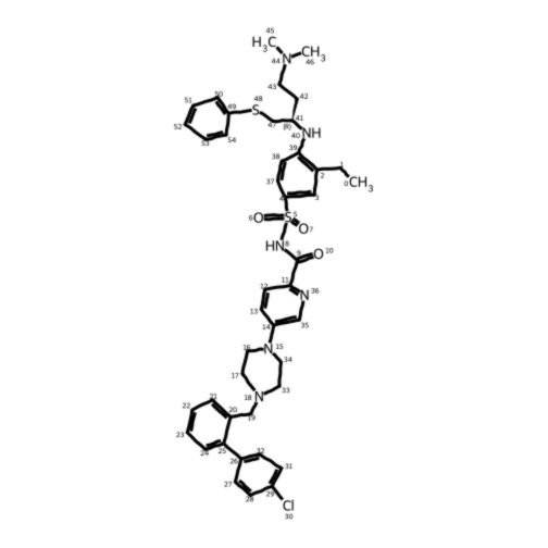 CCc1cc(S(=O)(=O)NC(=O)c2ccc(N3CCN(Cc4ccccc4-c4ccc(Cl)cc4)CC3)cn2)ccc1N[C@H](CCN(C)C)CSc1ccccc1